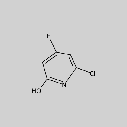 Oc1cc(F)cc(Cl)n1